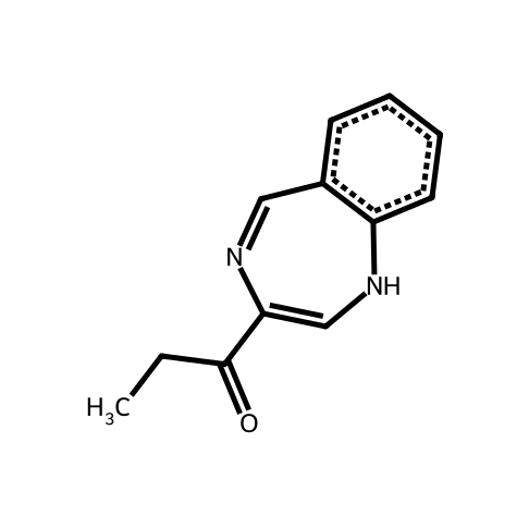 CCC(=O)C1=CNc2ccccc2C=N1